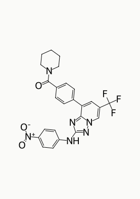 O=C(c1ccc(-c2cc(C(F)(F)F)cn3nc(Nc4ccc([N+](=O)[O-])cc4)nc23)cc1)N1CCCCC1